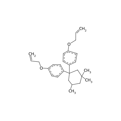 C=CCOc1ccc(C2(c3ccc(OCC=C)cc3)CC(C)CC(C)(C)C2)cc1